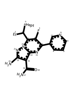 CCCCCCCC(CC)c1c(F)c(-c2cccnc2)nc2c(C(N)=O)c(N)nn12